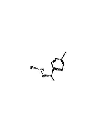 C/C(=N/NC(C)C)c1ccc(C)cc1